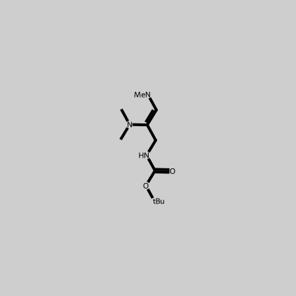 CN/C=C(/CNC(=O)OC(C)(C)C)N(C)C